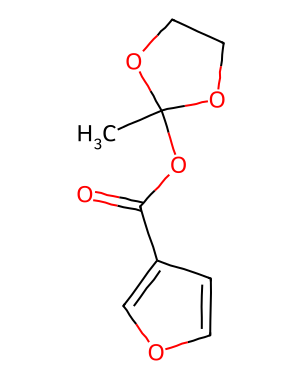 CC1(OC(=O)c2ccoc2)OCCO1